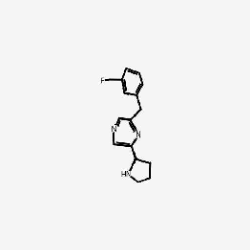 Fc1cccc(Cc2cncc(C3CCCN3)n2)c1